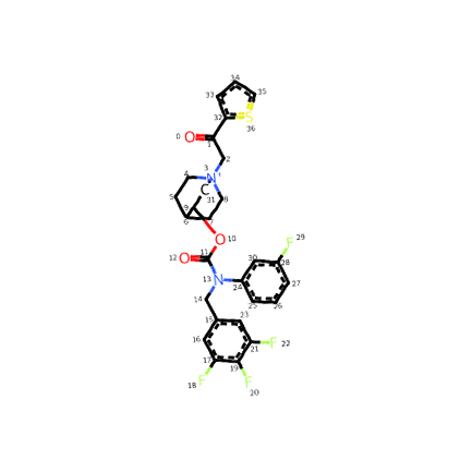 O=C(C[N+]12CCC(CC1)C(OC(=O)N(Cc1cc(F)c(F)c(F)c1)c1cccc(F)c1)C2)c1cccs1